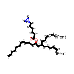 C=CCCCC/C=C\CCCC(CC(CCC=C=CCCCCC)CCC/C=C\CCCCC)OC(=O)CCCCCN(C)C